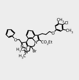 CCOC(=O)c1c(CCCOc2cc(C)c(Cl)c(C)c2)c2cccc(-c3c(COc4ccccc4)n[nH]c3CBr)c2n1CCCN(C)C